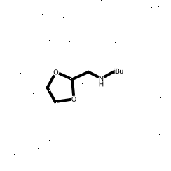 CCC(C)NCC1OCCO1